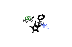 CC1=C(C)C(C)[C]([Zr+2]([NH2])[c]2ccccc2)=C1C.[CH3][GeH2][CH3].[Cl-].[Cl-]